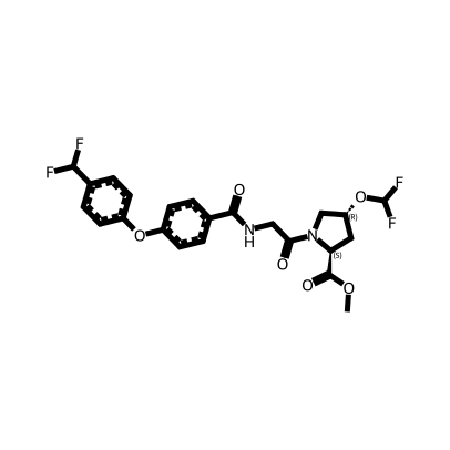 COC(=O)[C@@H]1C[C@@H](OC(F)F)CN1C(=O)CNC(=O)c1ccc(Oc2ccc(C(F)F)cc2)cc1